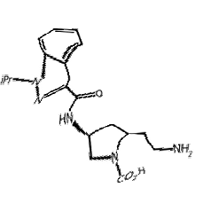 CC(C)n1nc(C(=O)N[C@H]2C[C@@H](CCN)N(C(=O)O)C2)c2ccccc21